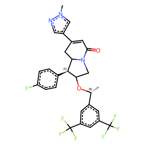 C[C@@H](OC1CN2C(=O)C=C(c3cnn(C)c3)CC2[C@@H]1c1ccc(F)cc1)c1cc(C(F)(F)F)cc(C(F)(F)F)c1